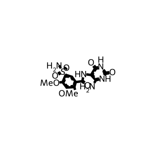 COc1cc(OC)c(S(N)(=O)=O)cc1C(=O)Nc1c(N)[nH]c(=O)[nH]c1=O